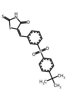 CC(C)(C)c1ccc(S(=O)(=O)c2cccc(C=C3SC(=S)NC3=O)c2)cc1